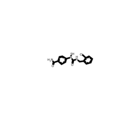 NC(=O)c1ccc(N(S)C(=O)NCc2ccccc2Cl)cc1